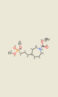 CCOP(=O)(CCCC1CCCN(C(=O)OC(C)(C)C)CC1)OCC